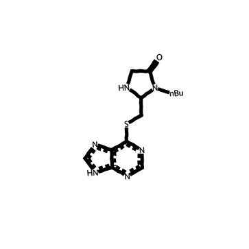 CCCCN1C(=O)CNC1CSc1ncnc2[nH]cnc12